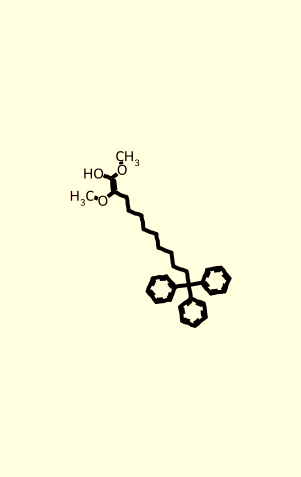 COC(O)=C(CCCCCCCCCC(c1ccccc1)(c1ccccc1)c1ccccc1)OC